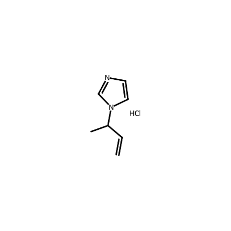 C=CC(C)n1ccnc1.Cl